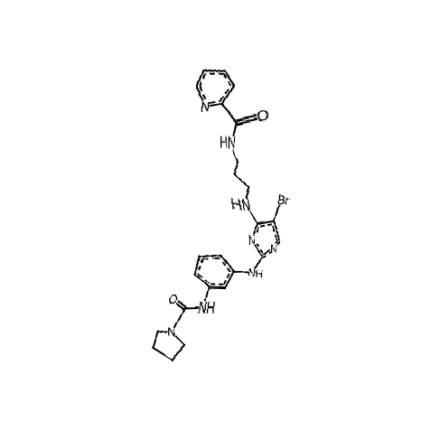 O=C(NCCCNc1nc(Nc2cccc(NC(=O)N3CCCC3)c2)ncc1Br)c1ccccn1